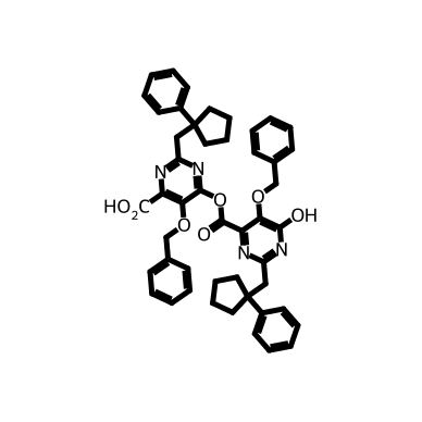 O=C(Oc1nc(CC2(c3ccccc3)CCCC2)nc(C(=O)O)c1OCc1ccccc1)c1nc(CC2(c3ccccc3)CCCC2)nc(O)c1OCc1ccccc1